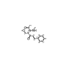 CNN(C(C)=O)C([C]=O)C(=O)C=Cc1ccccc1